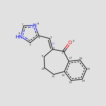 O=C1/C(=C/c2c[nH]cn2)CCCc2ccccc21